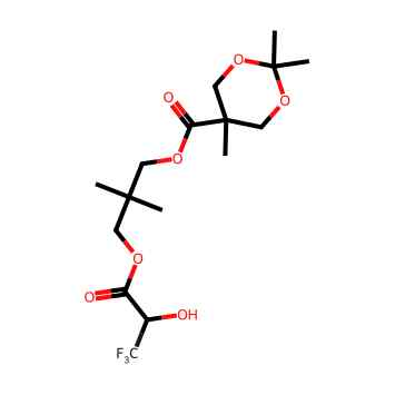 CC(C)(COC(=O)C(O)C(F)(F)F)COC(=O)C1(C)COC(C)(C)OC1